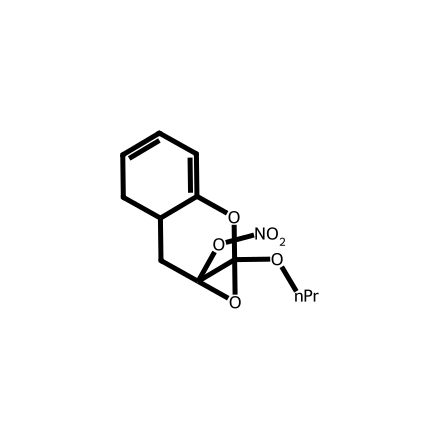 CCCOC12OC3=CC=CCC3CC1(O[N+](=O)[O-])O2